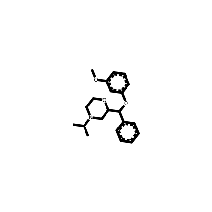 COc1cccc(OC(c2ccccc2)C2CN(C(C)C)CCO2)c1